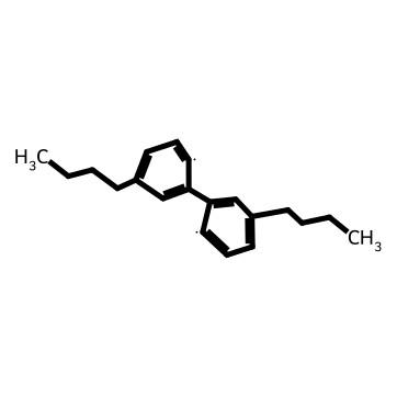 CCCCc1cc[c]c(-c2[c]ccc(CCCC)c2)c1